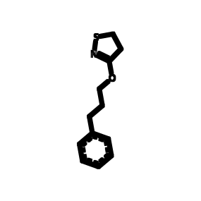 c1ccc(CCCOC2=NSCC2)cc1